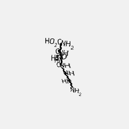 NCCCNCCCCNCCCNC(=O)CNC(=O)[C@H](CS)NC(=O)CC[C@H](N)C(=O)O